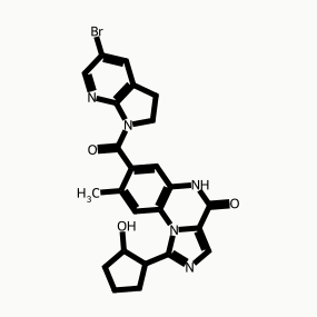 Cc1cc2c(cc1C(=O)N1CCc3cc(Br)cnc31)[nH]c(=O)c1cnc(C3CCCC3O)n12